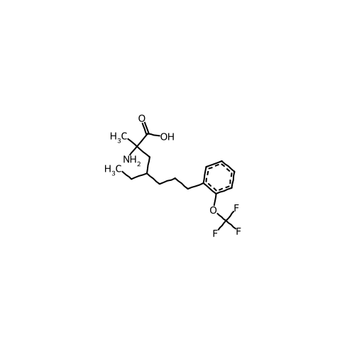 CCC(CCCc1ccccc1OC(F)(F)F)CC(C)(N)C(=O)O